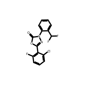 O=c1oc(-c2c(F)cccc2Cl)nn1-c1ccccc1C(F)F